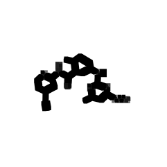 C#Cc1ccnc(NC(=O)c2cc(Nc3nc(C)cc(NC)n3)ccc2C)c1